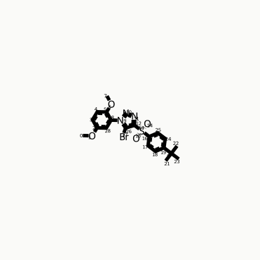 COc1ccc(OC)c(-n2nnc(S(=O)(=O)c3ccc(C(C)(C)C)cc3)c2Br)c1